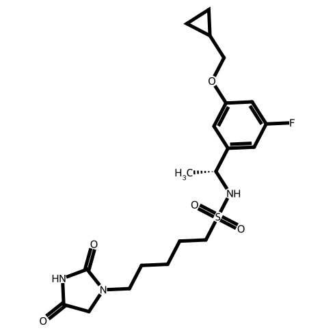 C[C@@H](NS(=O)(=O)CCCCCN1CC(=O)NC1=O)c1cc(F)cc(OCC2CC2)c1